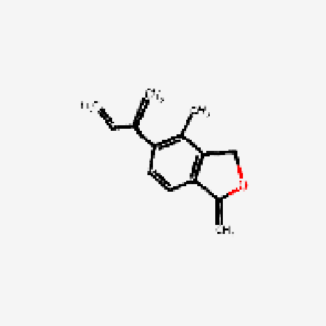 C=CC(=C)c1ccc2c(c1C)COC2=C